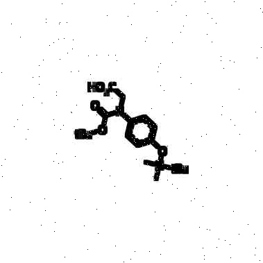 CC(C)(C)OC(=O)N(CC(=O)O)c1ccc(O[Si](C)(C)C(C)(C)C)cc1